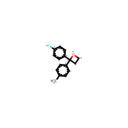 Cc1ccc(C2(c3ccc(F)cc3)CCO2)cc1